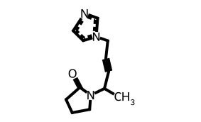 CC(C#CCn1ccnc1)N1CCCC1=O